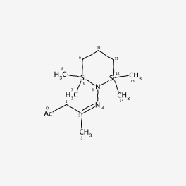 CC(=O)CC(C)=NN1[Si](C)(C)CCC[Si]1(C)C